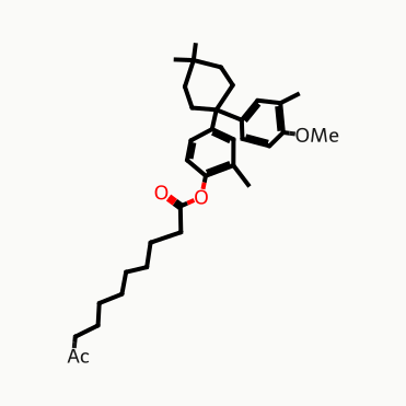 COc1ccc(C2(c3ccc(OC(=O)CCCCCCCCC(C)=O)c(C)c3)CCC(C)(C)CC2)cc1C